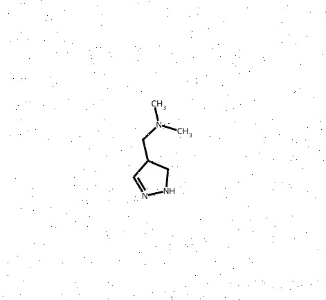 CN(C)CC1C=NNC1